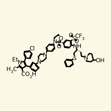 CCn1c(C)c(C(=O)O)c(-c2cccc(N3CCN(c4ccc(N5CCO[P@@]5(=O)c5ccc(N[C@H](CCN6CCC(O)CC6)CSc6ccccc6)c(S(=O)(=O)C(F)(F)F)c5)cc4)CC3)c2)c1-c1ccc(Cl)cc1